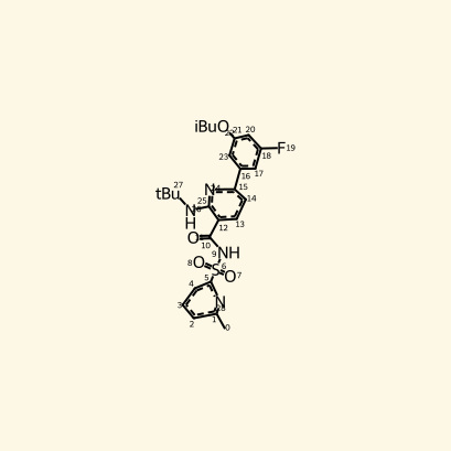 Cc1cccc(S(=O)(=O)NC(=O)c2ccc(-c3cc(F)cc(OCC(C)C)c3)nc2NC(C)(C)C)n1